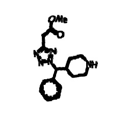 COC(=O)Cc1nnn(C(c2ccccc2)C2CCNCC2)n1